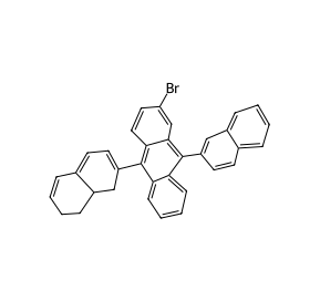 Brc1ccc2c(C3=CC=C4C=CCCC4C3)c3ccccc3c(-c3ccc4ccccc4c3)c2c1